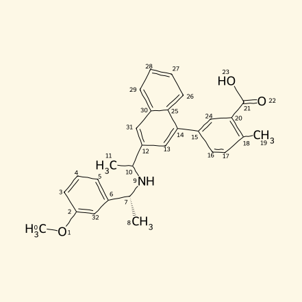 COc1cccc([C@@H](C)NC(C)c2cc(-c3ccc(C)c(C(=O)O)c3)c3ccccc3c2)c1